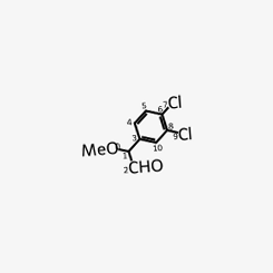 COC(C=O)c1ccc(Cl)c(Cl)c1